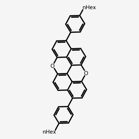 CCCCCCc1ccc(-c2ccc3oc4ccc5c(-c6ccc(CCCCCC)cc6)ccc6oc7ccc2c3c7-c4c65)cc1